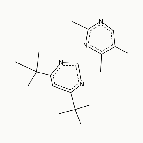 CC(C)(C)c1cc(C(C)(C)C)ncn1.Cc1ncc(C)c(C)n1